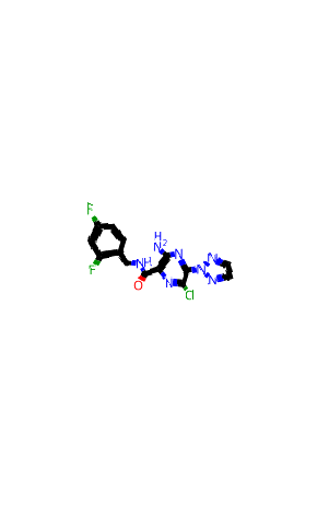 Nc1nc(-n2nccn2)c(Cl)nc1C(=O)NCc1ccc(F)cc1F